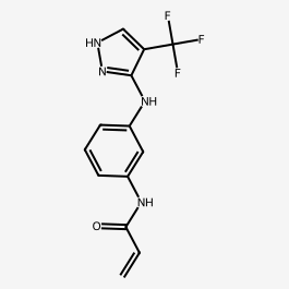 C=CC(=O)Nc1cccc(Nc2n[nH]cc2C(F)(F)F)c1